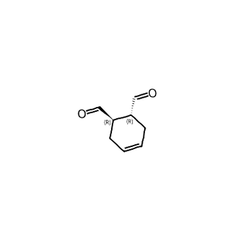 O=C[C@@H]1CC=CC[C@H]1C=O